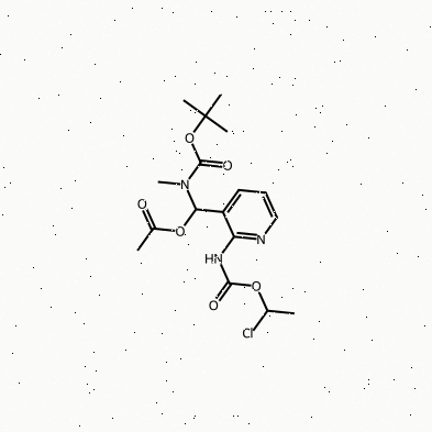 CC(=O)OC(c1cccnc1NC(=O)OC(C)Cl)N(C)C(=O)OC(C)(C)C